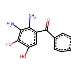 Nc1c(C(=O)c2ccccc2)cc(O)c(O)c1N